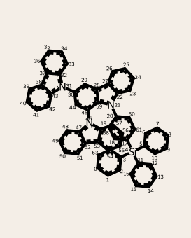 c1ccc([Si](c2ccccc2)(c2ccccc2)c2ccc(-n3c4ccccc4c4cc(-n5c6ccccc6c6ccccc65)cc(-n5c6ccccc6c6ccccc65)c43)cc2)cc1